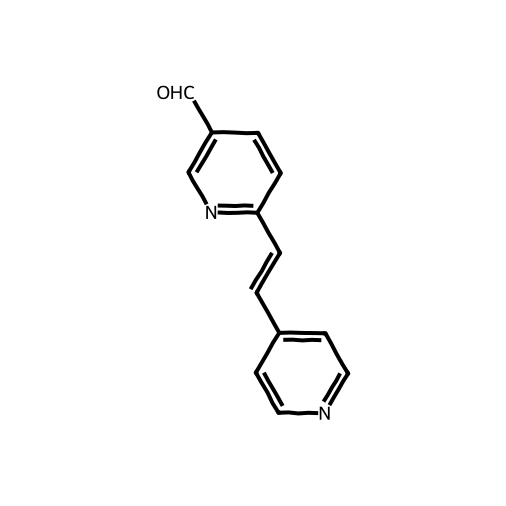 O=Cc1ccc(/C=C/c2ccncc2)nc1